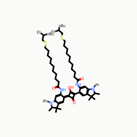 CCCCC(CC)CSCCCCCCCCCCC(=O)Nc1cc2c(cc1C1=C(O)/C(=c3/cc4c(cc3NC(=O)CCCCCCCCCCSCC(CC)CCCC)=[N+](C(C)C)C(C)C4(C)C)C1=O)C(C)(C)C(C)N2C(C)C